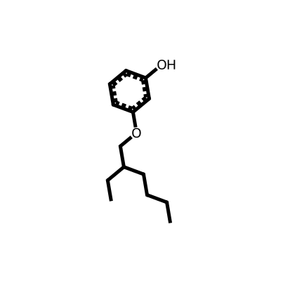 CCCCC(CC)COc1cccc(O)c1